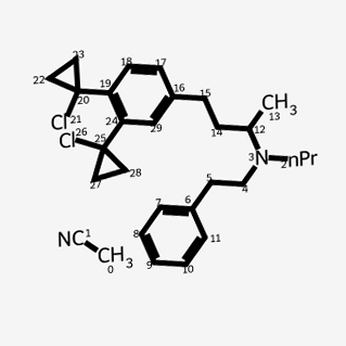 CC#N.CCCN(CCc1ccccc1)C(C)CCc1ccc(C2(Cl)CC2)c(C2(Cl)CC2)c1